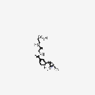 N#C/N=C(\N)Nc1cccc(C(=O)NCC(=O)NCCC(=O)O)c1